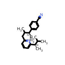 CC(C)[C@H](C)c1cccc(CC(C)[C@H](C)c2ccc(C#N)cc2)n1